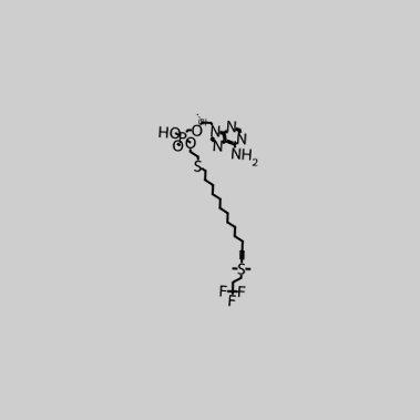 C[C@H](Cn1cnc2c(N)ncnc21)OCP(=O)(O)OCCSCCCCCCCCCCCC#CS(C)(C)CCC(F)(F)F